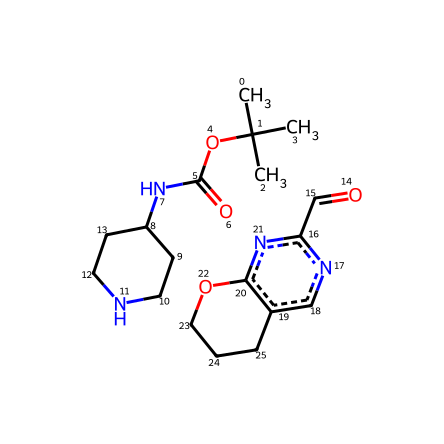 CC(C)(C)OC(=O)NC1CCNCC1.O=Cc1ncc2c(n1)OCCC2